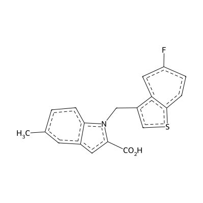 Cc1ccc2c(c1)cc(C(=O)O)n2Cc1csc2ccc(F)cc12